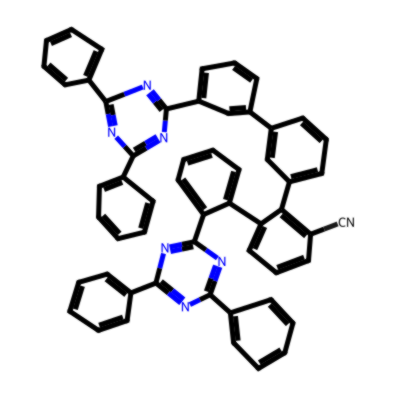 N#Cc1cccc(-c2ccccc2-c2nc(-c3ccccc3)nc(-c3ccccc3)n2)c1-c1cccc(-c2cccc(-c3nc(-c4ccccc4)nc(-c4ccccc4)n3)c2)c1